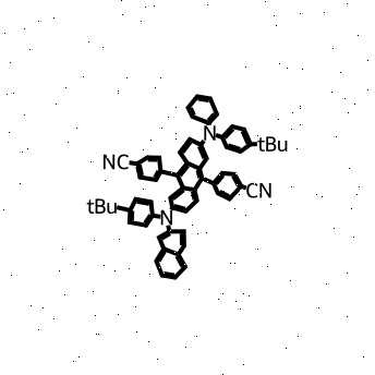 CC(C)(C)c1ccc(N(c2ccccc2)c2ccc3c(-c4ccc(C#N)cc4)c4cc(N(c5ccc(C(C)(C)C)cc5)c5ccc6ccccc6c5)ccc4c(-c4ccc(C#N)cc4)c3c2)cc1